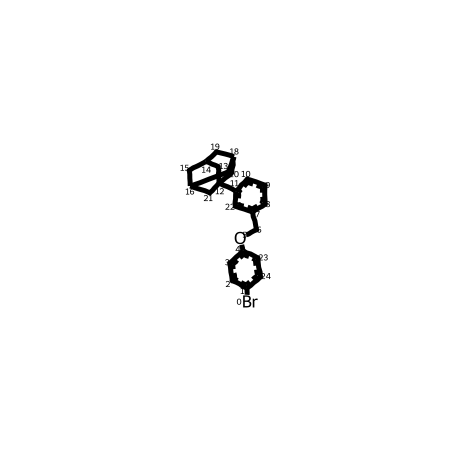 Brc1ccc(OCc2cccc(C34CC5CC(CC(C5)C3)C4)c2)cc1